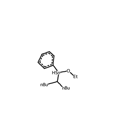 CCCC[CH](CCCC)[SnH]([O]CC)[c]1ccccc1